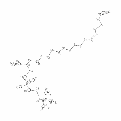 CCCCCCCCCCCCC/C=C\CCCCCCCCCOC[C@H](COP(=O)([O-])OCC[N+](C)(C)C)OC